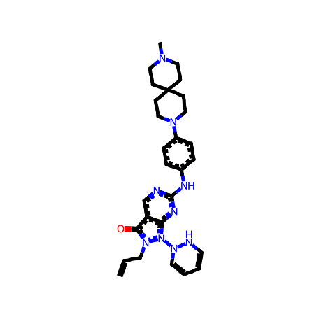 C=CCn1c(=O)c2cnc(Nc3ccc(N4CCC5(CCN(C)CC5)CC4)cc3)nc2n1N1C=CC=CN1